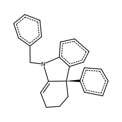 C1=C2N(Cc3ccccc3)c3ccccc3[C@]2(c2ccccc2)CCC1